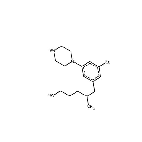 CCc1cc(CN(C)CCCO)cc(N2CCNCC2)c1